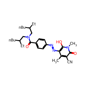 CCCCC(CC)CN(CC(CC)CCCC)C(=O)c1ccc(/N=N/c2c(C)c(C#N)c(=O)n(C)c2O)cc1